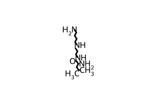 CC(C)C[C@H](N)C(=O)NCCCNCCCCN